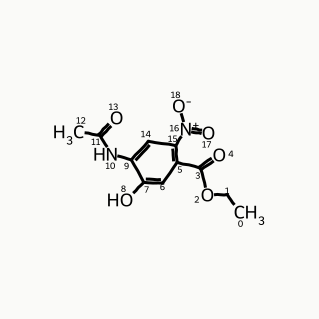 CCOC(=O)c1cc(O)c(NC(C)=O)cc1[N+](=O)[O-]